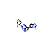 Fc1cnc2ccc(-c3c[nH]c4nc(NC5CCOCC5)ncc34)cn12